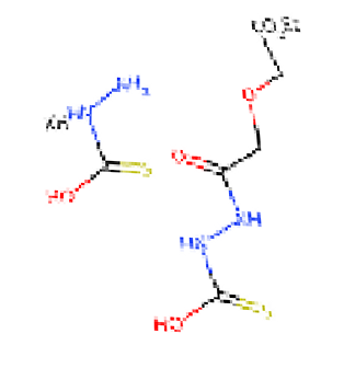 CCOC(=O)COCC(=O)NNC(O)=S.NNC(O)=S.[KH]